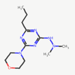 CCCc1nc(NN(C)C)nc(N2CCOCC2)n1